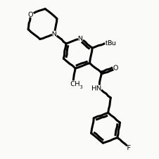 Cc1cc(N2CCOCC2)nc(C(C)(C)C)c1C(=O)NCc1cccc(F)c1